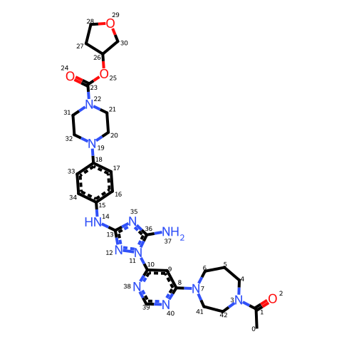 CC(=O)N1CCCN(c2cc(-n3nc(Nc4ccc(N5CCN(C(=O)OC6CCOC6)CC5)cc4)nc3N)ncn2)CC1